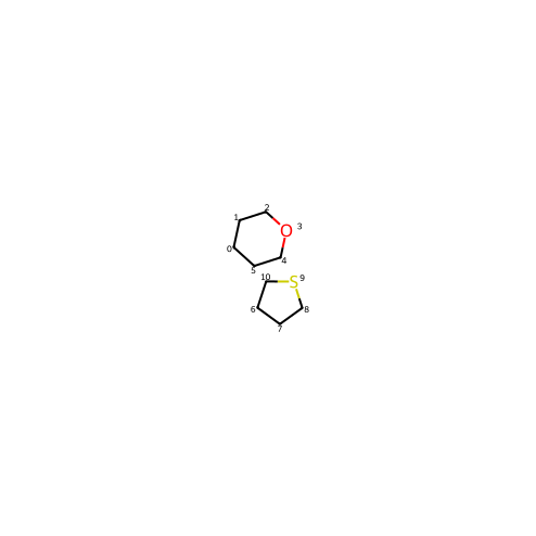 C1CCOCC1.C1CCSC1